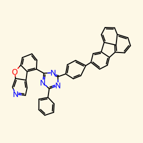 c1ccc(-c2nc(-c3ccc(-c4ccc5c(c4)-c4cccc6cccc-5c46)cc3)nc(-c3cccc4oc5cnccc5c34)n2)cc1